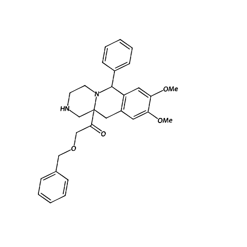 COc1cc2c(cc1OC)C(c1ccccc1)N1CCNCC1(C(=O)COCc1ccccc1)C2